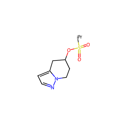 CC(C)S(=O)(=O)OC1CCn2nccc2C1